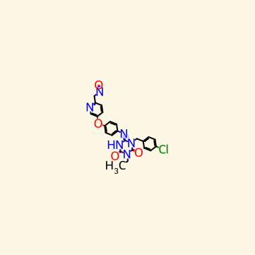 CCn1c(=O)[nH]/c(=N\c2ccc(Oc3ccc(CN=O)nc3)cc2)n(Cc2ccc(Cl)cc2)c1=O